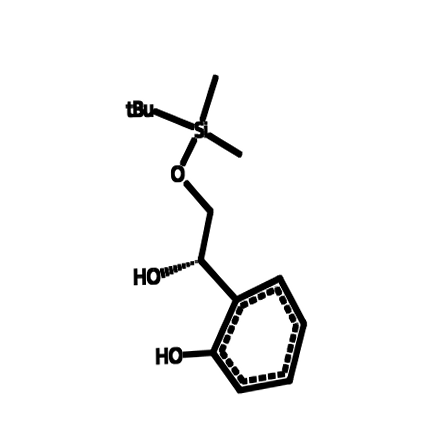 CC(C)(C)[Si](C)(C)OC[C@@H](O)c1ccccc1O